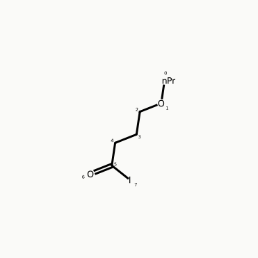 CCCOCCCC(=O)I